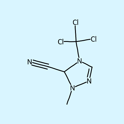 CN1N=CN(C(Cl)(Cl)Cl)C1C#N